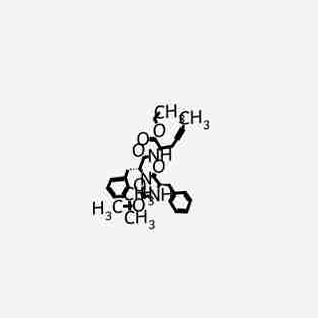 CC#CCC(NC(=O)[C@@H](Cc1ccccc1)NC(=O)[C@@H](Cc1ccccc1)NC(=O)OC(C)(C)C)C(=O)OCC